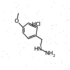 COc1ccc(CNN)cc1.Cl